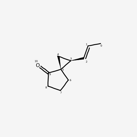 C/C=C/[C@@H]1C[C@]12CCCC2=O